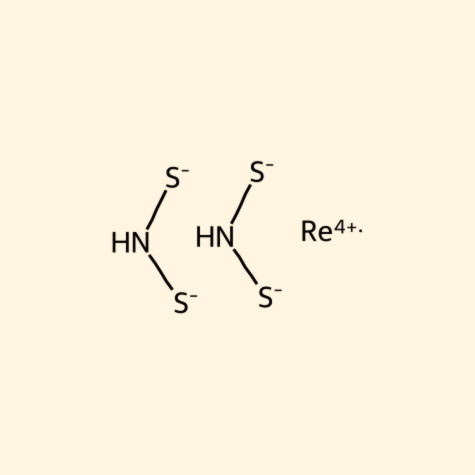 [Re+4].[S-]N[S-].[S-]N[S-]